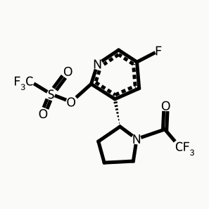 O=C(N1CCC[C@@H]1c1cc(F)cnc1OS(=O)(=O)C(F)(F)F)C(F)(F)F